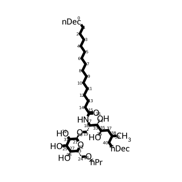 CCCCCCCCCCCCCCCCCCCCCCCCC(=O)N[C@@H](CO[C@H]1O[C@H](COCCC)[C@H](O)C(O)C1O)[C@H](O)[C@H](O)CC(C)CCCCCCCCCCC